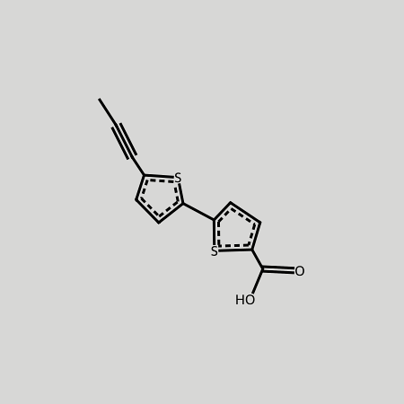 CC#Cc1ccc(-c2ccc(C(=O)O)s2)s1